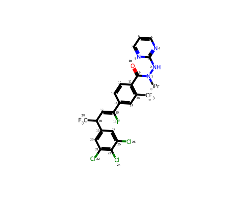 CC(C)N(Nc1ncccn1)C(=O)c1ccc(C(F)=CC(c2cc(Cl)c(Cl)c(Cl)c2)C(F)(F)F)cc1C(F)(F)F